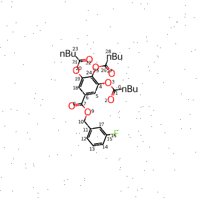 CCCCC(=O)Oc1cc(C(=O)OCc2cccc(F)c2)cc(OC(=O)CCCC)c1OC(=O)CCCC